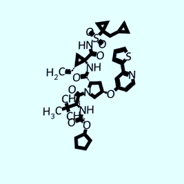 C=C[C@@H]1C[C@]1(NC(=O)[C@@H]1C[C@@H](Oc2ccnc(-c3cccs3)c2)CN1C(=O)[C@@H](NC(=O)OC1CCCC1)C(C)(C)C)C(=O)NS(=O)(=O)C1(CC2CC2)CC1